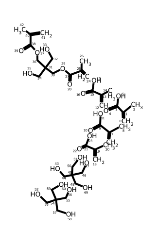 C=C(C)C(=O)O.C=C(C)C(=O)O.C=C(C)C(=O)O.C=C(C)C(=O)O.C=C(C)C(=O)OCC(CO)(CO)COC(=O)C(=C)C.OCC(CO)(CO)CO.OCC(CO)(CO)CO